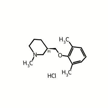 Cc1cccc(C)c1OC[C@@H]1CCCN(C)C1.Cl